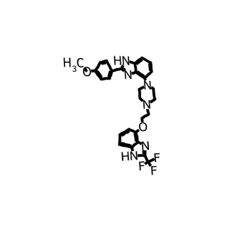 COc1ccc(-c2nc3c(N4CCN(CCOc5cccc6[nH]c(C(F)(F)F)nc56)CC4)cccc3[nH]2)cc1